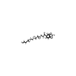 CCCCOCCOCCOCCC(C)c1ccc2c(c1)OCO2